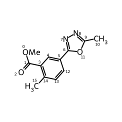 COC(=O)c1cc(-c2nnc(C)o2)ccc1C